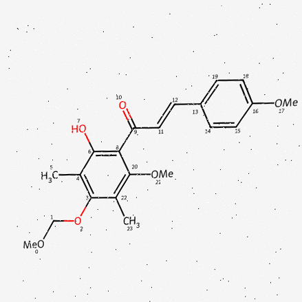 COCOc1c(C)c(O)c(C(=O)C=Cc2ccc(OC)cc2)c(OC)c1C